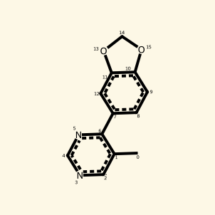 Cc1[c]ncnc1-c1ccc2c(c1)OCO2